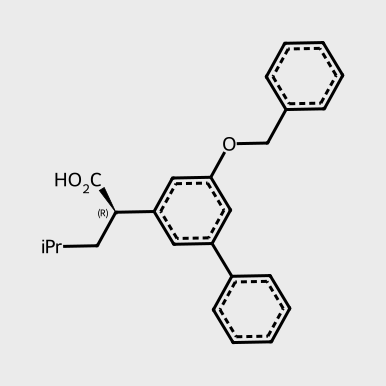 CC(C)C[C@@H](C(=O)O)c1cc(OCc2ccccc2)cc(-c2ccccc2)c1